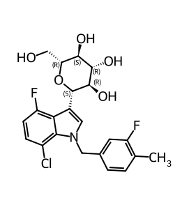 Cc1ccc(Cn2cc([C@@H]3O[C@H](CO)[C@@H](O)[C@H](O)[C@H]3O)c3c(F)ccc(Cl)c32)cc1F